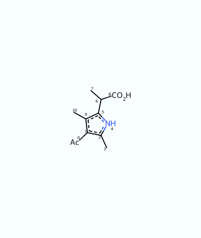 CC(=O)c1c(C)[nH]c(C(C)C(=O)O)c1C